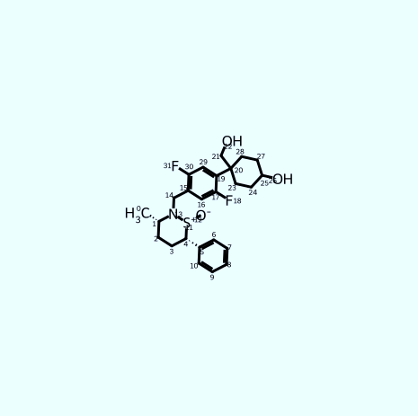 C[C@H]1CC[C@@H](c2ccccc2)[S+]([O-])N1Cc1cc(F)c(C2(CO)CCC(O)CC2)cc1F